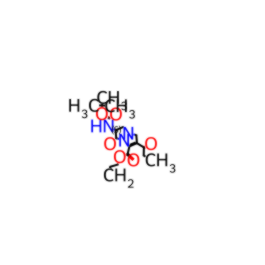 C=CCOC(=O)C1=C(C(=O)CC)CN2C[C@H](NC(=O)OC(C)(C)C)C(=O)N12